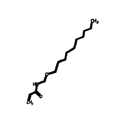 C=CC(=O)NCOCCCCCCCCCC